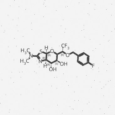 CN(C)C1=N[C@@H]2[C@@H](O)[C@H](O)C([C@@H](OCc3ccc(F)cc3)C(F)(F)F)O[C@@H]2S1